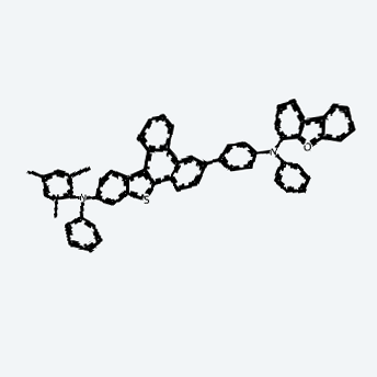 Cc1cc(C)c(N(c2ccccc2)c2ccc3c(c2)sc2c4ccc(-c5ccc(N(c6ccccc6)c6cccc7c6oc6ccccc67)cc5)cc4c4ccccc4c32)c(C)c1